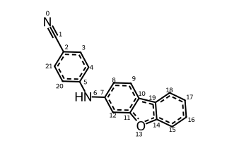 N#Cc1ccc(Nc2ccc3c(c2)oc2ccccc23)cc1